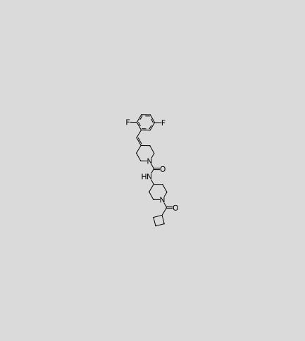 O=C(NC1CCN(C(=O)C2CCC2)CC1)N1CCC(=Cc2cc(F)ccc2F)CC1